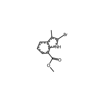 COC(=O)c1cccc2c(C)c(Br)[nH]c12